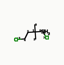 CC(C)(CCCl)[SiH2]Cl